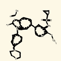 COc1ncc(-c2ccc3nc(N)n(-c4ccc(N5CCOCC5)cc4)c3c2)cc1NS(=O)(=O)C1CC1.O=CO